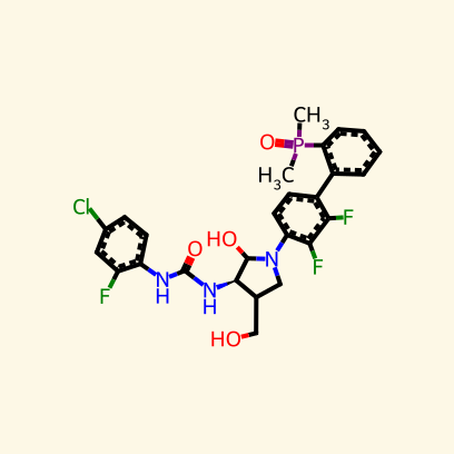 CP(C)(=O)c1ccccc1-c1ccc(N2CC(CO)[C@@H](NC(=O)Nc3ccc(Cl)cc3F)C2O)c(F)c1F